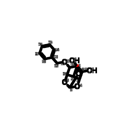 OCC1C2OC3OC(C2O)C(OCc2ccccc2)C1O3